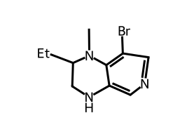 CCC1CNc2cncc(Br)c2N1C